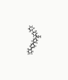 C1=CCC(c2ccc(Nc3ccc(-c4ccc(-c5ccccc5)cc4)cc3)cc2)C=C1